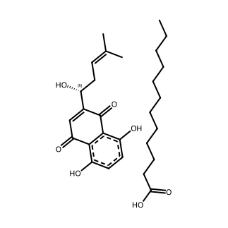 CC(C)=CC[C@@H](O)C1=CC(=O)c2c(O)ccc(O)c2C1=O.CCCCCCCCCCCC(=O)O